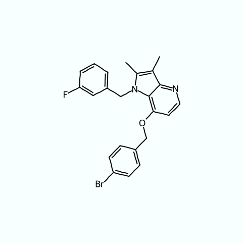 Cc1c(C)n(Cc2cccc(F)c2)c2c(OCc3ccc(Br)cc3)ccnc12